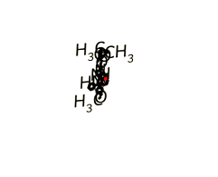 CCOP(COCCn1cnc2c(NC(c3ccccc3)(c3ccccc3)c3ccc(OC)cc3)ncnc21)OCC